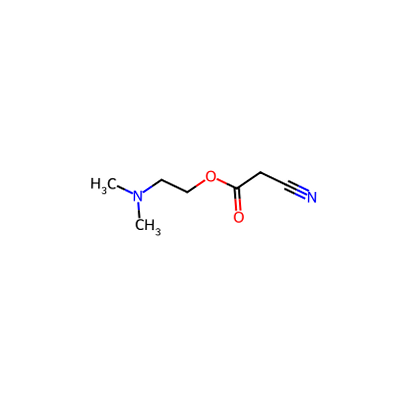 CN(C)CCOC(=O)CC#N